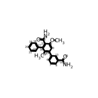 COc1cc(-c2cccc(C(N)=O)c2)c(C)c(-c2ccccc2)c1C(N)=O